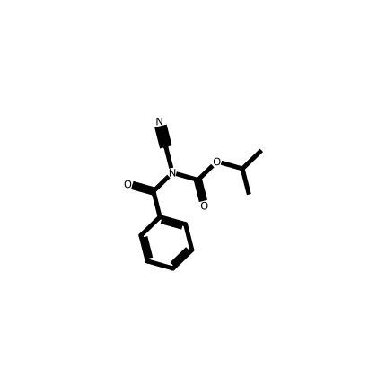 CC(C)OC(=O)N(C#N)C(=O)c1ccccc1